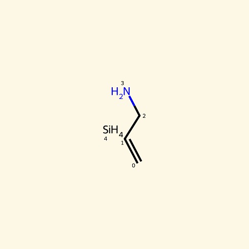 C=CCN.[SiH4]